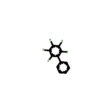 Fc1c(F)c(F)c(-c2c[c]ccc2)c(F)c1F